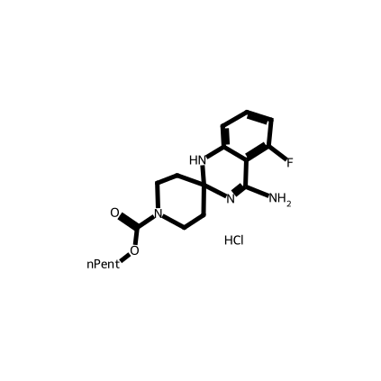 CCCCCOC(=O)N1CCC2(CC1)N=C(N)c1c(F)cccc1N2.Cl